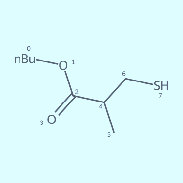 CCCCOC(=O)C(C)CS